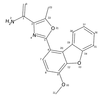 C=C(N)c1nc(-c2ccc(OC)c3oc4ccccc4c23)oc1C